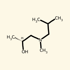 CC(C)CN(C)C[C@@H](C)O